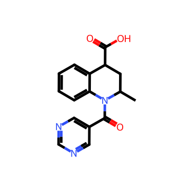 CC1CC(C(=O)O)c2ccccc2N1C(=O)c1cncnc1